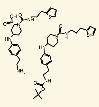 CC(C)(C)OC(=O)NCCc1ccc(NC2CCN(C(=O)NCCCc3cccs3)CC2)cc1.NCCc1ccc(NC2CCN(C(=O)NCCCc3cccs3)CC2)cc1.O=CO